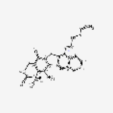 C=CCO/N=C/c1c2c(nc3ccccc13)-c1c([N+](=O)[O-])c3c(c(=O)n1C2)COC(=O)[C@]3(O)CC